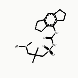 CC(C)N(C)CC(C)(C)CS(=O)(=O)NC(=O)Nc1c2c(cc3c1CCC3)CCC2